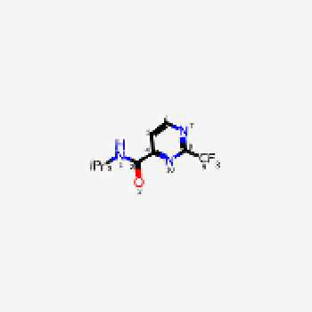 CC(C)NC(=O)c1ccnc(C(F)(F)F)n1